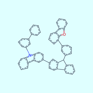 c1ccc(-c2cccc(-n3c4ccccc4c4cc(-c5ccc6c(c5)C(c5cccc(-c7cccc8c7oc7ccccc78)c5)c5ccccc5-6)ccc43)c2)cc1